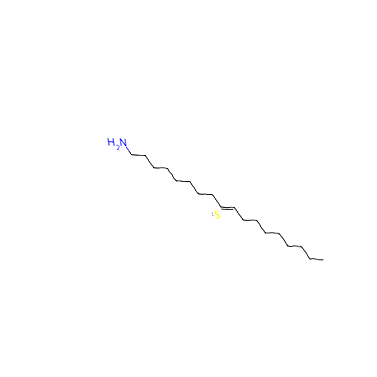 CCCCCCCCC=CCCCCCCCCN.[S]